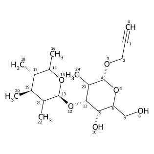 C#CCO[C@@H]1OC(CO)[C@H](O)[C@H](O[C@@H]2OC(C)[C@@H](C)[C@H](C)C2C)C1C